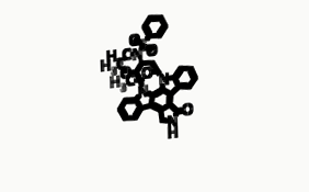 COC1[C@H](N(C)S(=O)(=O)c2ccccc2)CC2O[C@]1(C)n1c3ccccc3c3c4c(c5c6ccccc6n2c5c31)C(=O)NC4